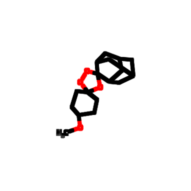 COC1CCC2(CC1)OOC1(O2)C2CC3CC(C2)CC1C3